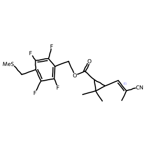 CSCc1c(F)c(F)c(COC(=O)C2C(/C=C(\C)C#N)C2(C)C)c(F)c1F